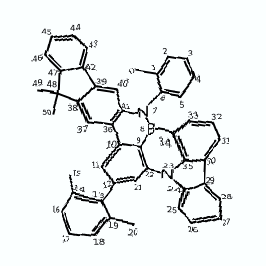 Cc1ccccc1N1B2c3c(cc(-c4c(C)cccc4C)cc3-n3c4ccccc4c4cccc2c43)-c2cc3c(cc21)-c1ccccc1C3(C)C